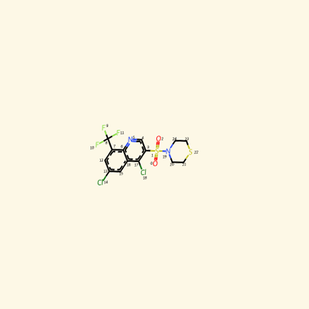 O=S(=O)(c1cnc2c(C(F)(F)F)cc(Cl)cc2c1Cl)N1CCSCC1